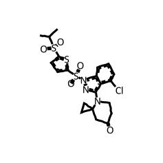 CC(C)S(=O)(=O)c1ccc(S(=O)(=O)n2nc(N3CCC(=O)CC34CC4)c3c(Cl)cccc32)s1